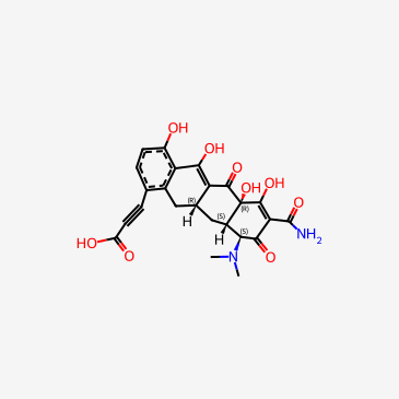 CN(C)[C@@H]1C(=O)C(C(N)=O)=C(O)[C@@]2(O)C(=O)C3=C(O)c4c(O)ccc(C#CC(=O)O)c4C[C@H]3C[C@@H]12